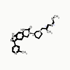 C=N/C=N\C=C(/C)CN1CCC[C@@H](N2Cc3cc4c(-c5ccnc(C)c5)n[nH]c4cc3NC2=O)C1